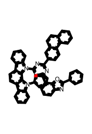 c1ccc(-c2nc3cccc(-c4nc(-c5ccc6c(ccc7ccccc76)c5)nc(-n5c6ccccc6c6ccc7c8ccccc8n(-c8ccccc8)c7c65)n4)c3o2)cc1